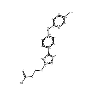 O=C(O)CCCn1nnc(-c2ccc(Oc3ccc(F)cc3)cc2)n1